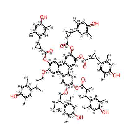 Cc1cc(C(C)CCOc2cc3c4cc(OCC(CC=O)c5cc(C)c(O)cc5C)c(OC(=O)C(C)C(C)c5cc(C)c(O)cc5C)cc4c4cc(OC(=O)C5CC5c5cc(C)c(O)cc5C)c(OC(=O)C5CC5c5cc(C)c(O)cc5C)cc4c3cc2OC(=O)C2CC2c2cc(C)c(O)cc2C)c(C)cc1O